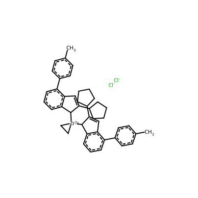 Cc1ccc(-c2cccc3c2C=C(C2CCCC2)[CH]3[Zr+2]2([CH]3C(C4CCCC4)=Cc4c(-c5ccc(C)cc5)cccc43)[CH2][CH2]2)cc1.[Cl-].[Cl-]